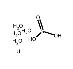 O.O.O.O.O=S(O)O.[U]